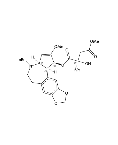 CCCCN1CCc2cc3c(cc2[C@@H]2[C@H](OC(=O)[C@@](O)(CCC)CC(=O)OC)C(OC)=C[C@@H]21)OCO3